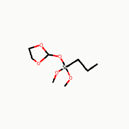 CCC[Si](OC)(OC)OC1OCCO1